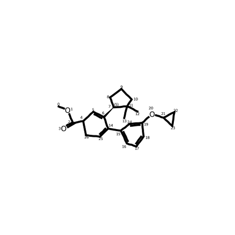 COC(=O)C1C=C([C@H]2CCCC2(C)C)C(c2cccc(OC3CC3)c2)=CC1